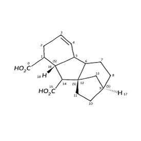 O=C(O)C1CC=CC2C3CC[C@H]4CC[C@@]3(C4)C(C(=O)O)[C@H]12